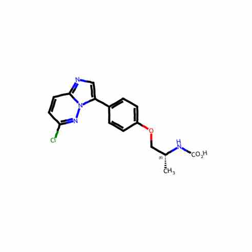 C[C@H](COc1ccc(-c2cnc3ccc(Cl)nn23)cc1)NC(=O)O